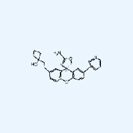 NC1=N[C@]2(CO1)c1cc(CCC3(O)CCC3)ccc1Oc1ccc(-c3cccnc3)cc12